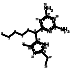 CCCCCC(c1nc(N)nc(N)n1)c1[nH]c(CC)nc1C